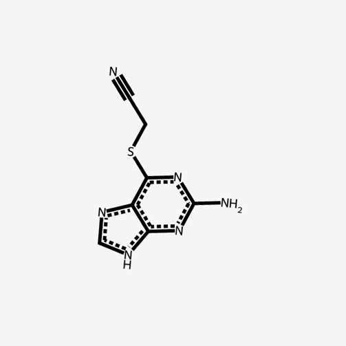 N#CCSc1nc(N)nc2[nH]cnc12